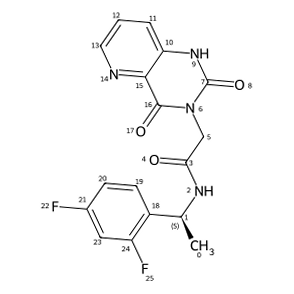 C[C@H](NC(=O)Cn1c(=O)[nH]c2cccnc2c1=O)c1ccc(F)cc1F